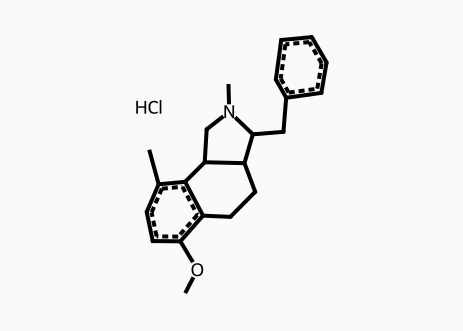 COc1ccc(C)c2c1CCC1C2CN(C)C1Cc1ccccc1.Cl